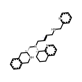 C(=C\CN(C[C@H]1Cc2ccccc2CN1)[C@H]1CCCc2cccnc21)/CNCc1ccccn1